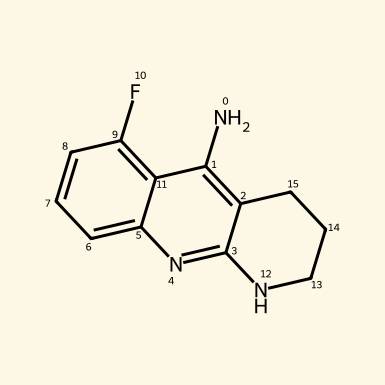 Nc1c2c(nc3cccc(F)c13)NCCC2